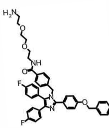 NCCOCCOCCNC(=O)c1ccc(Cn2c(-c3ccc(OCc4ccccc4)cc3)nc(-c3ccc(F)cc3)c2-c2ccc(F)cc2)cc1